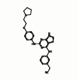 N#CCc1cccc(Nc2nc(Nc3ccc(OCCN4CCCC4)cc3)nc3[nH]ccc23)c1